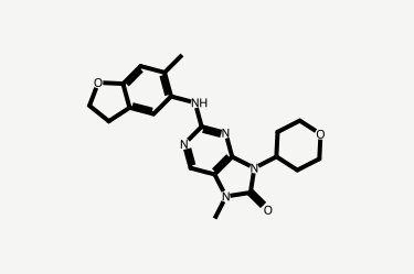 Cc1cc2c(cc1Nc1ncc3c(n1)n(C1CCOCC1)c(=O)n3C)CCO2